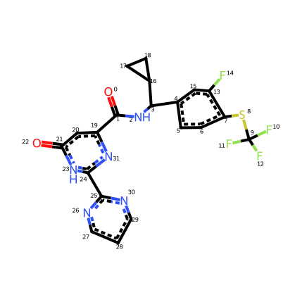 O=C(NC(c1ccc(SC(F)(F)F)c(F)c1)C1CC1)c1cc(=O)[nH]c(-c2ncccn2)n1